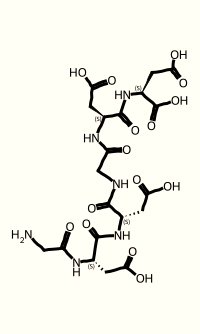 NCC(=O)N[C@@H](CC(=O)O)C(=O)N[C@@H](CC(=O)O)C(=O)NCC(=O)N[C@@H](CC(=O)O)C(=O)N[C@@H](CC(=O)O)C(=O)O